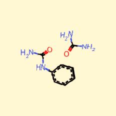 NC(=O)Nc1ccccc1.NC(N)=O